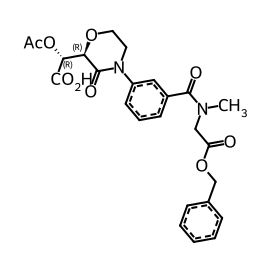 CC(=O)O[C@@H](C(=O)O)[C@H]1OCCN(c2cccc(C(=O)N(C)CC(=O)OCc3ccccc3)c2)C1=O